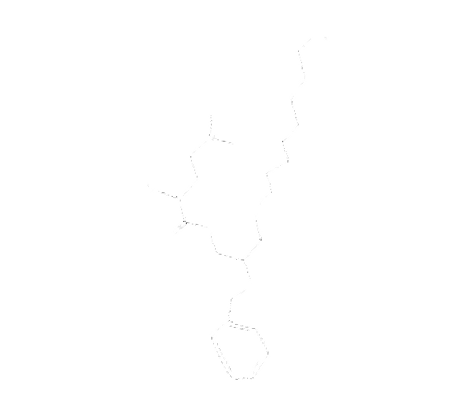 CCCCCCCCCCCCCCCCCCOCC(COC(=O)N(CCN(C)C)C(C)=O)OCc1ccccc1